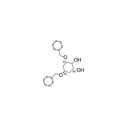 OC1[C@H](O)C[C@@H](OCc2ccccc2)C[C@@H]1OCc1ccccc1